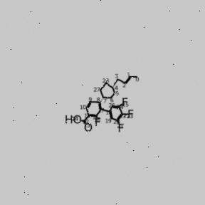 C/C=C/C[C@H]1CC[C@H](c2ccc(C(=O)O)c(F)c2-c2cc(F)c(F)c(F)c2)CC1